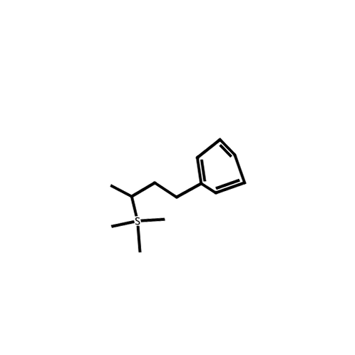 CC(CCc1ccccc1)S(C)(C)C